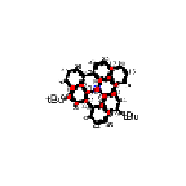 CC(C)(C)c1ccc(N(c2ccc(C(C)(C)C)cc2-c2ccccc2)c2ccccc2-c2cccc3cccc(-c4ccccc4)c23)c(-c2ccccc2)c1